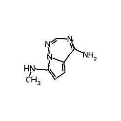 CNc1ccc2c(N)ncnn12